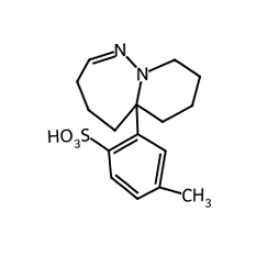 Cc1ccc(S(=O)(=O)O)c(C23CCCC=NN2CCCC3)c1